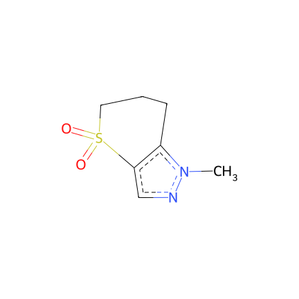 Cn1ncc2c1CCCS2(=O)=O